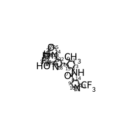 Cc1ccc(NC(=O)c2ccnc(C(F)(F)F)c2)cc1-c1cnc2c(c1)N1CCOC[C@H]1C(F)(F)[C@@H]2O